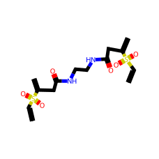 C=CS(=O)(=O)C(=C)CC(=O)NCCNC(=O)CC(=C)S(=O)(=O)C=C